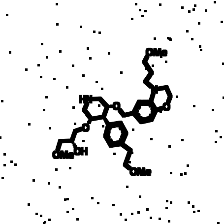 COCCCN1CCOc2ccc(CO[C@H]3CNC[C@@H](OC[C@H](O)COC)[C@@H]3c3ccc(CCOC)cc3)cc21